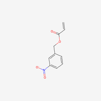 C=CC(=O)OCc1cccc([N+](=O)[O-])c1